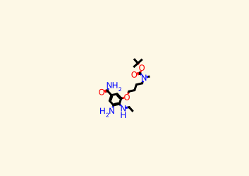 CCNc1c(N)cc(C(N)=O)cc1OCCCCN(C)C(=O)OC(C)(C)C